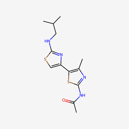 CC(=O)Nc1nc(C)c(-c2csc(NCC(C)C)n2)s1